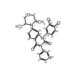 CC1COCC(C)N1c1ccc2c(=O)n(-c3cccnc3)c(=O)n(-c3ccc(Cl)c(Cl)c3)c2c1